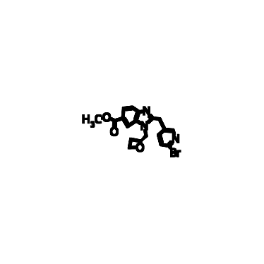 COC(=O)c1ccc2nc(Cc3ccc(Br)nc3)n(C[C@@H]3CCO3)c2c1